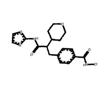 CCNC(=O)c1ccc(CC(C(=O)Nc2nccs2)C2CCOCC2)cc1